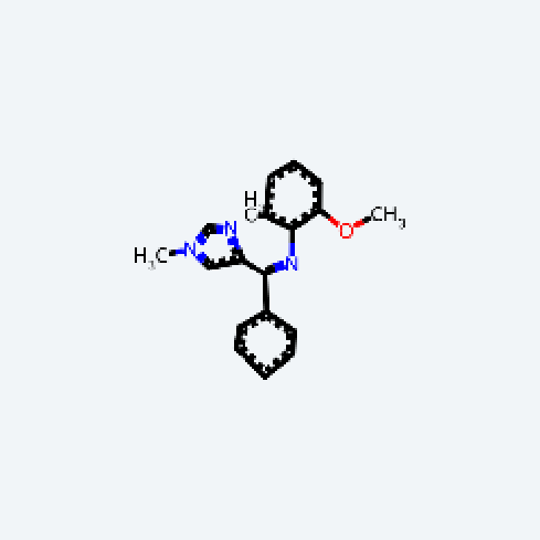 COc1cccc(C)c1N=C(c1ccccc1)c1cn(C)cn1